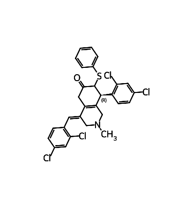 CN1CC(=Cc2ccc(Cl)cc2Cl)C2=C(C1)[C@H](c1ccc(Cl)cc1Cl)C(Sc1ccccc1)C(=O)C2